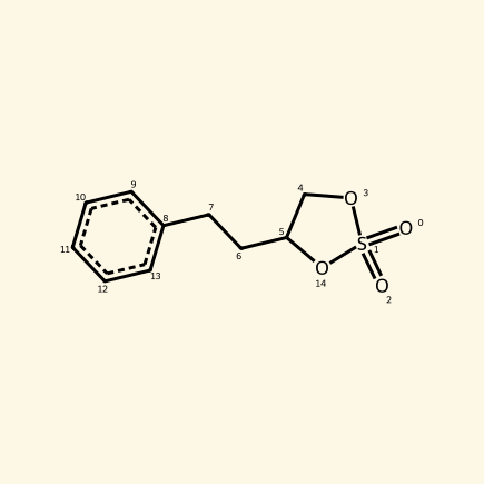 O=S1(=O)OCC(CCc2ccccc2)O1